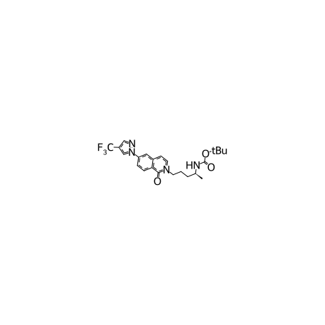 C[C@@H](CCCn1ccc2cc(-n3cc(C(F)(F)F)cn3)ccc2c1=O)NC(=O)OC(C)(C)C